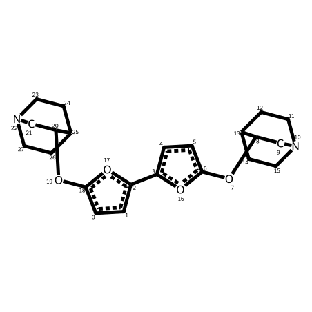 c1cc(-c2ccc(OC3CN4CCC3CC4)o2)oc1OC1CN2CCC1CC2